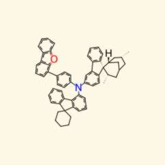 C[C@@H]1CC2C[C@@H](C1)[C@@]1(c3ccccc3-c3cc(N(c4ccc(-c5cccc6c5oc5ccccc56)cc4)c4cccc5c4-c4ccccc4C54CCCCC4)ccc31)[C@@H](C)C2